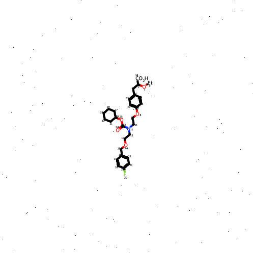 CCOC(Cc1ccc(OCCN(CCOCc2ccc(F)cc2)C(=O)OC2CCCCC2)cc1)C(=O)O